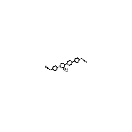 Cl.Cl.N#CCc1ccc(N2C=CC(=C3C=CN(c4ccc(CC#N)cc4)C=C3)C=C2)cc1